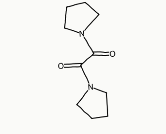 O=C(C(=O)N1CCCC1)N1CCCC1